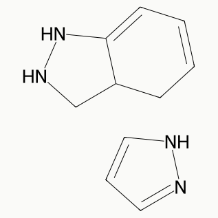 C1=CCC2CNNC2=C1.c1cn[nH]c1